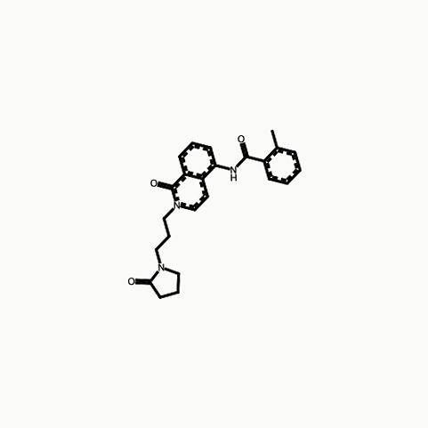 Cc1ccccc1C(=O)Nc1cccc2c(=O)n(CCCN3CCCC3=O)ccc12